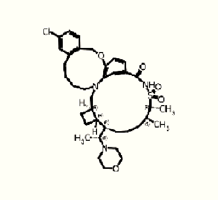 C[C@H]([C@@H]1CCC[C@H](C)[C@@H](C)S(=O)(=O)NC(=O)c2ccc3c(c2)N(CCCCc2cc(Cl)ccc2CO3)C[C@@H]2CC[C@H]21)N1CCOCC1